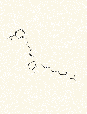 CC(C)OC(=O)CCC/C=C/C[C@@H]1[C@@H](/C=C/[C@@H](O)COc2cccc(C(F)(F)F)c2)[C@H](O)C[C@@H]1O